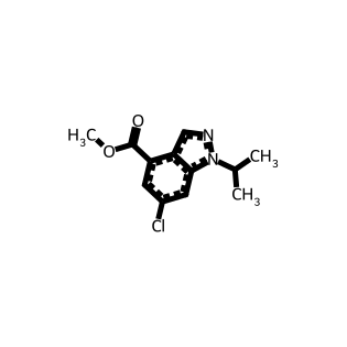 COC(=O)c1cc(Cl)cc2c1cnn2C(C)C